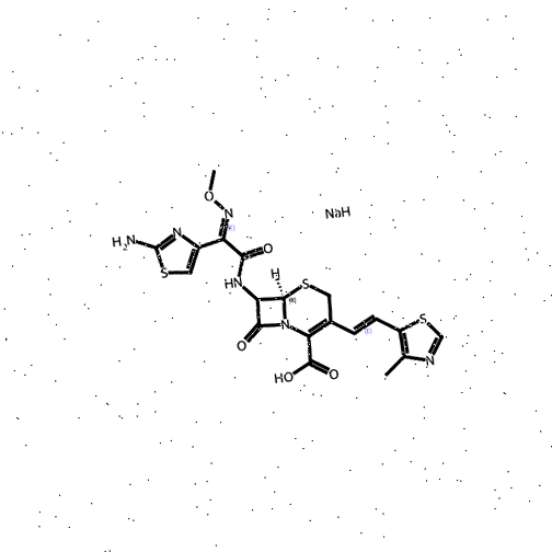 CO/N=C(/C(=O)NC1C(=O)N2C(C(=O)O)=C(/C=C/c3scnc3C)CS[C@H]12)c1csc(N)n1.[NaH]